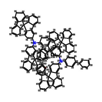 CC1(C)c2cc(-c3ccc4c(c3)C3(c5ccccc5-c5cc(N(c6ccc(-c7ccccc7)cc6)c6ccc7c(c6)C6(c8ccccc8-c8ccccc86)c6ccccc6-7)ccc53)c3ccccc3-4)ccc2-c2c(N(c3ccc4c(c3)-c3ccccc3C43c4ccccc4-c4ccccc43)c3ccc4c(c3)C3(c5ccccc5-c5ccccc53)c3ccccc3-4)cccc21